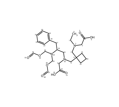 CCN(CC(=O)O)CC1(CN(CC(=O)O)CC(Cc2ccccc2)N(COC=O)COC=O)CCC1